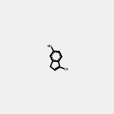 CC(C)(C)c1ccc2c(c1)CC=C2C#N